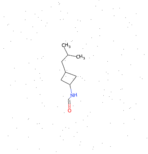 CC(C)CC1CC(NC=O)C1